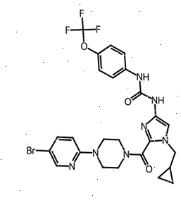 O=C(Nc1ccc(OC(F)(F)F)cc1)Nc1cn(CC2CC2)c(C(=O)N2CCN(c3ccc(Br)cn3)CC2)n1